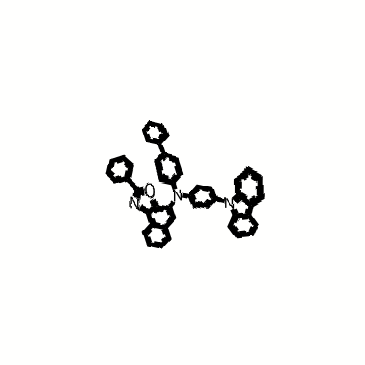 c1ccc(-c2ccc(N(c3ccc(-n4c5ccccc5c5ccccc54)cc3)c3cc4ccccc4c4nc(-c5ccccc5)oc34)cc2)cc1